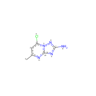 Cc1cc(Cl)n2nc(N)nc2n1